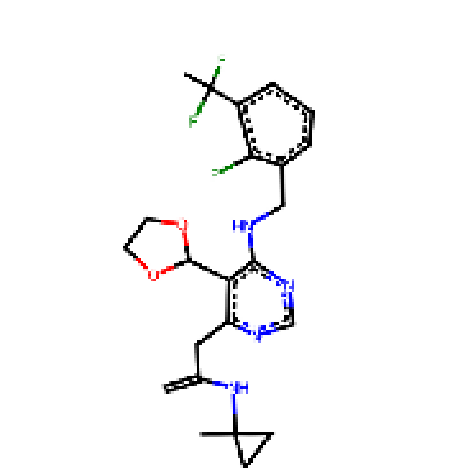 C=C(Cc1ncnc(NCc2cccc(C(C)(F)F)c2F)c1C1OCCO1)NC1(C)CC1